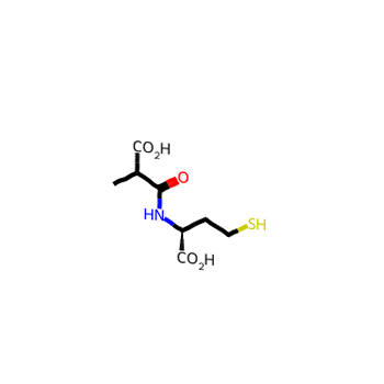 CC(C(=O)O)C(=O)N[C@@H](CCS)C(=O)O